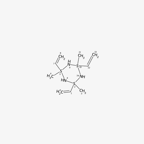 C=CS1(C)NS(C)(C=C)NS(C)(C=C)N1